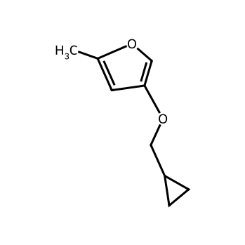 Cc1cc(OCC2CC2)co1